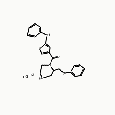 Cl.Cl.O=C(c1coc(Nc2ccccc2)n1)N1CCNCC1COc1cccnc1